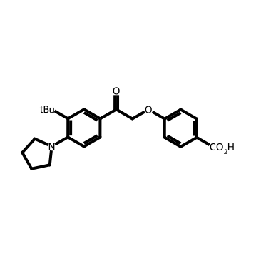 CC(C)(C)c1cc(C(=O)COc2ccc(C(=O)O)cc2)ccc1N1CCCC1